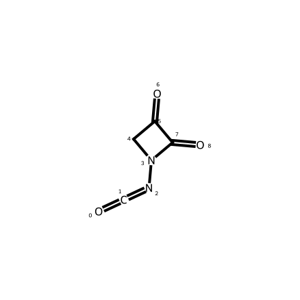 O=C=NN1CC(=O)C1=O